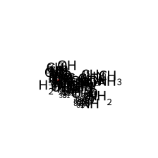 CNC(=N)NCCC[C@H](NC(=O)[C@H](CC(C)C)n1cc(CNC(=O)[C@H](Cc2ccccc2)NC(=O)[C@@H](NC(=O)[C@H](CC(N)=O)NC(=O)[C@@H]2C[C@@H](O)CN2C(=O)[C@@H](Cc2ccc(O)cc2)NC(C)=O)[C@@H](C)O)nn1)C(=O)N[C@@H](Cc1c[nH]c2ccccc12)C(N)=O